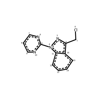 ClCc1nn(-c2ncccn2)c2ccccc12